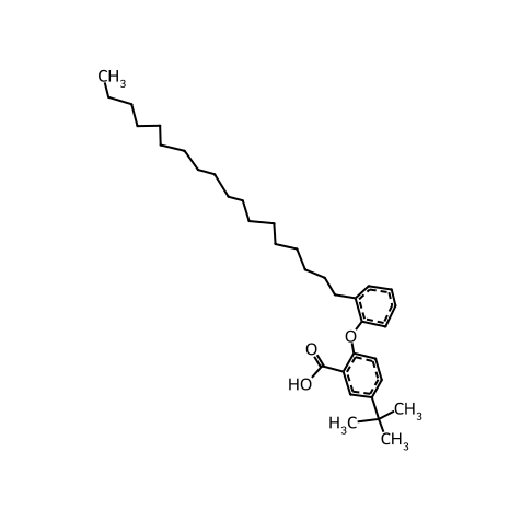 CCCCCCCCCCCCCCCCCCc1ccccc1Oc1ccc(C(C)(C)C)cc1C(=O)O